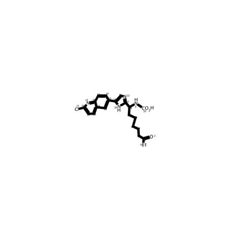 CCC(=O)CCCCCC(NC(=O)O)c1ncc(-c2ccc3nc(Cl)ccc3c2)[nH]1